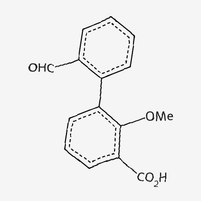 COc1c(C(=O)O)cccc1-c1ccccc1C=O